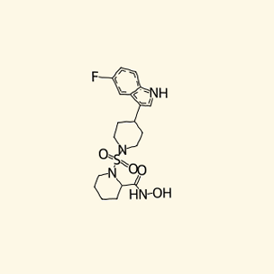 O=C(NO)C1CCCCN1S(=O)(=O)N1CCC(c2c[nH]c3ccc(F)cc23)CC1